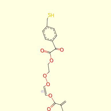 C=C(C)C(=O)O/C=C\OOCCOC(=O)C(=O)c1ccc(CS)cc1